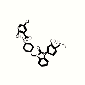 Cc1ccc(-n2c(=O)n(C[C@H]3CC[C@H](NC(=O)c4cc(Cl)cnc4C)CC3)c3ccccc32)cc1C(=O)O